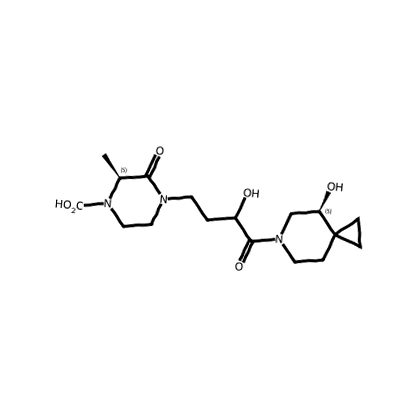 C[C@H]1C(=O)N(CCC(O)C(=O)N2CCC3(CC3)[C@H](O)C2)CCN1C(=O)O